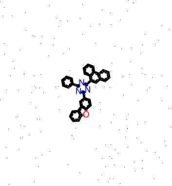 c1ccc(-c2nc(-c3ccc4oc5ccccc5c4c3)nc(-c3cc4ccccc4c4ccccc34)n2)cc1